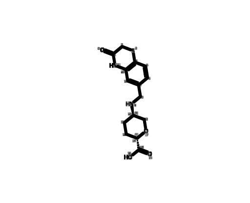 O=C1CSc2ccc(CN[C@@H]3CC[C@@H](C(=O)O)OC3)cc2N1